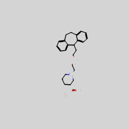 Cl.O=C(O)[C@@H]1CCCN(CCOCCC2c3ccccc3CCc3ccccc32)C1